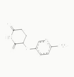 CSc1ccc(OC2CCC(=O)NC2=O)cn1